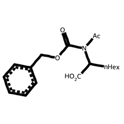 CCCCCCC(C(=O)O)N(C(C)=O)C(=O)OCc1ccccc1